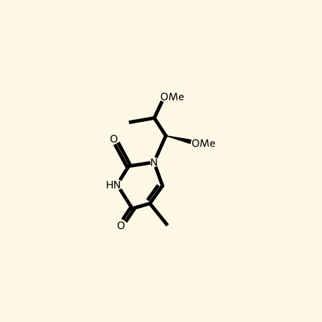 COC(C)[C@@H](OC)n1cc(C)c(=O)[nH]c1=O